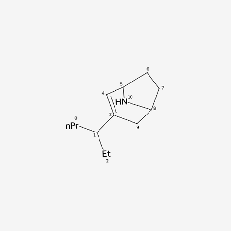 CCCC(CC)C1=CC2CCC(C1)N2